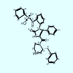 O=C(c1[nH]c(=O)n(-c2ccccc2NS(=O)(=O)c2ccccc2)c1-c1ccccc1)N1CCNC[C@H]1Cc1ccccc1